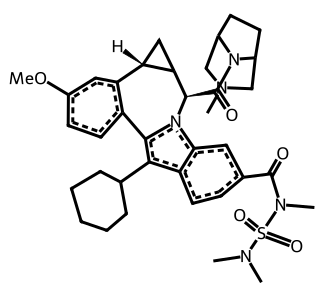 COc1ccc2c(c1)[C@@H]1CC1[C@@H](C(=O)N1C3CCC1CN(C)C3)n1c-2c(C2CCCCC2)c2ccc(C(=O)N(C)S(=O)(=O)N(C)C)cc21